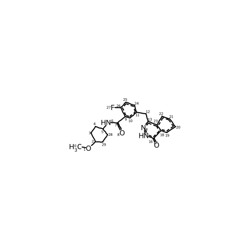 COC1CCC(NC(=O)c2cc(Cc3n[nH]c(=O)c4ccccc34)ccc2F)CC1